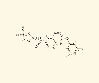 Cc1cc(C)nc(Oc2ccc3nc(C(=O)NC4CCS(=O)(=O)C4)ccc3c2)n1